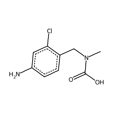 CN(Cc1ccc(N)cc1Cl)C(=O)O